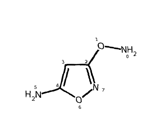 NOc1cc(N)on1